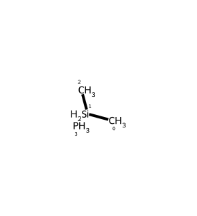 C[SiH2]C.P